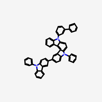 c1ccc(-c2cccc(-n3c4ccccc4c4c5c6cc(-c7ccc8c(c7)c7ccccc7n8-c7ccccc7)ccc6n(-c6ccccc6)c5ccc43)c2)cc1